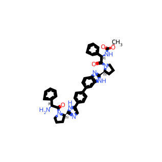 COC(=O)N[C@@H](C(=O)N1CCC[C@H]1c1nc2ccc(-c3ccc(-c4cnc([C@@H]5CCCN5C(=O)[C@H](N)c5ccccc5)[nH]4)cc3)cc2[nH]1)c1ccccc1